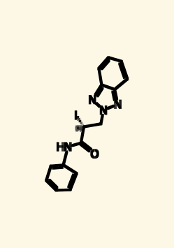 O=C(Nc1ccccc1)[C@H](I)Cn1nc2ccccc2n1